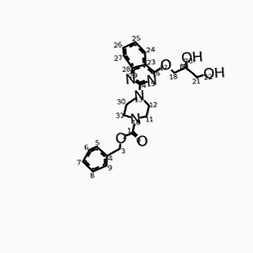 O=C(OCc1ccccc1)N1CCN(c2nc(OC[C@@H](O)CO)c3ccccc3n2)CC1